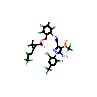 Cc1c(F)c(F)c(COC(=O)C2C(/C=C(\Cl)C(F)(F)F)C2(C)C)c(F)c1F.N#Cc1nn(-c2c(Cl)cc(C(F)(F)F)cc2Cl)c(N)c1[S+]([O-])C(F)(F)F